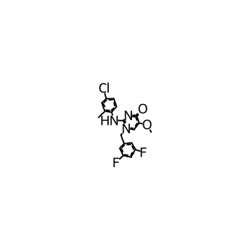 COc1cn(Cc2cc(F)cc(F)c2)c(Nc2ccc(Cl)cc2C)nc1=O